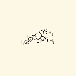 COc1cccc(CC2C(O)c3ccc(OC)cc3-c3cc(OC)ccc3CCN2C)c1